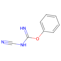 N#CNC(=N)Oc1ccccc1